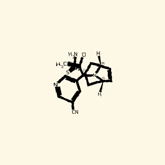 C=C(Cl)CN1[C@@H]2C=C[C@H]1C[C@](C(N)=S)(c1cncc(C#N)c1)C2